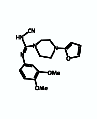 COc1ccc(N=C(NC#N)N2CCN(c3ccco3)CC2)cc1OC